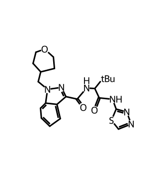 CC(C)(C)C(NC(=O)c1nn(CC2CCOCC2)c2ccccc12)C(=O)Nc1nncs1